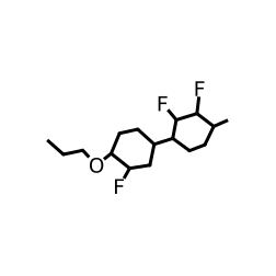 CCCOC1CCC(C2CCC(C)C(F)C2F)CC1F